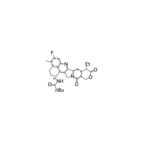 CCCCC(=O)N[C@@H]1CCc2c(C)c(F)cc3nc4c(c1c23)Cn1c-4cc2c(c1=O)COC(=O)C2CC